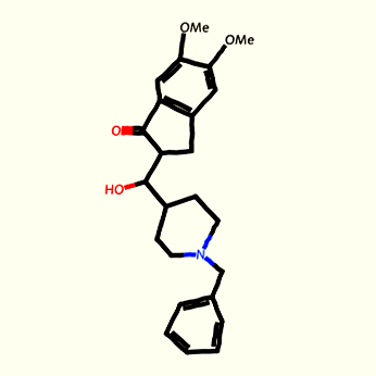 COc1cc2c(cc1OC)C(=O)C(C(O)C1CCN(Cc3ccccc3)CC1)C2